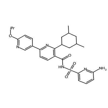 CC1CC(C)CC(c2nc(-c3ccc(OC(C)C)nc3)ccc2C(=O)NS(=O)(=O)c2cccc(N)n2)C1